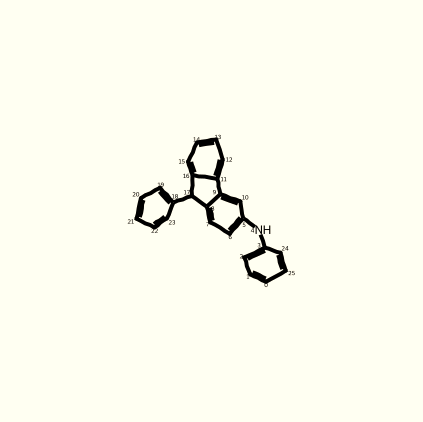 c1ccc(Nc2ccc3c(c2)-c2ccccc2C3c2ccccc2)cc1